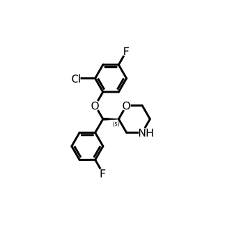 Fc1cccc(C(Oc2ccc(F)cc2Cl)[C@@H]2CNCCO2)c1